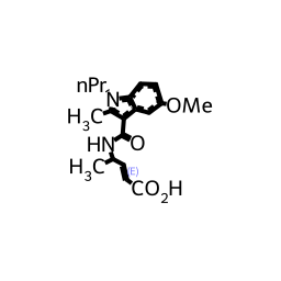 CCCn1c(C)c(C(=O)NC(C)/C=C/C(=O)O)c2cc(OC)ccc21